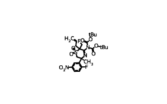 C=CCC1(CF)C(N(C(=O)OC(C)(C)C)C(=O)OC(C)(C)C)=N[C@](C)(c2cc([N+](=O)[O-])ccc2F)CS1(=O)=O